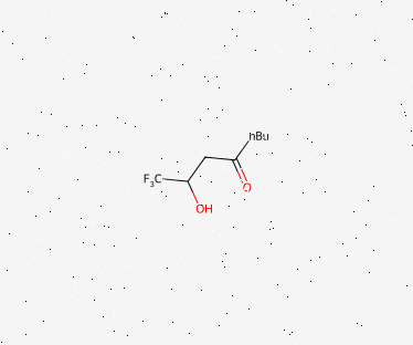 CCCCC(=O)CC(O)C(F)(F)F